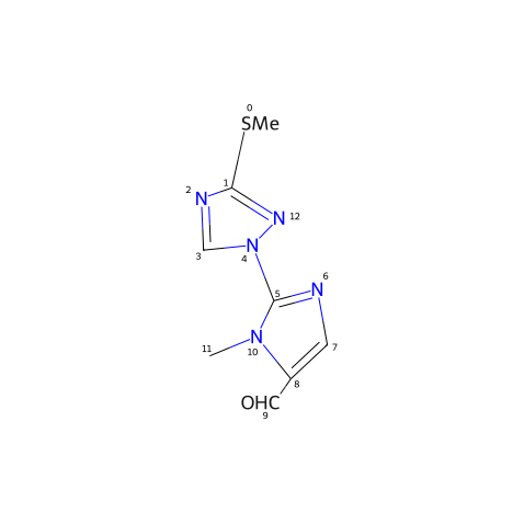 CSc1ncn(-c2ncc(C=O)n2C)n1